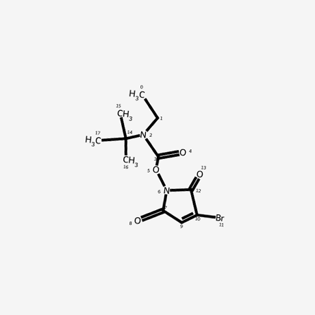 CCN(C(=O)ON1C(=O)C=C(Br)C1=O)C(C)(C)C